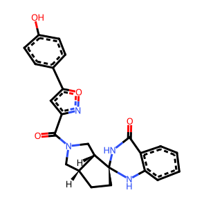 O=C1N[C@]2(CC[C@@H]3CN(C(=O)c4cc(-c5ccc(O)cc5)on4)C[C@@H]32)Nc2ccccc21